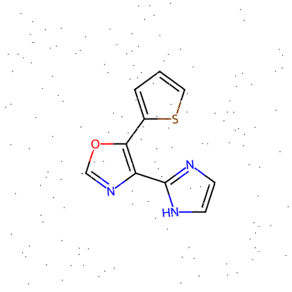 [c]1nc(-c2ncc[nH]2)c(-c2cccs2)o1